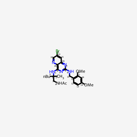 CCCCC(C)(CNC(C)=O)Nc1nc(NCc2ccc(OC)cc2OC)nc2cc(Br)cnc12